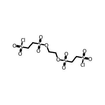 O=S(=O)(Cl)CCS(=O)(=O)OCCOS(=O)(=O)CCS(=O)(=O)Cl